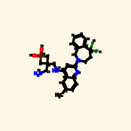 Cc1ccc2nc(N3CCC(F)(F)c4ccccc4C3)cc(NCC3(CN)CS(=O)(=O)C3)c2c1